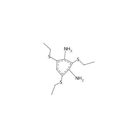 CCSc1cc(SCC)c(N)c(SCC)c1N